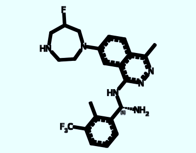 Cc1c([C@@H](N)Nc2nnc(C)c3ccc(N4CCNCC(F)C4)cc23)cccc1C(F)(F)F